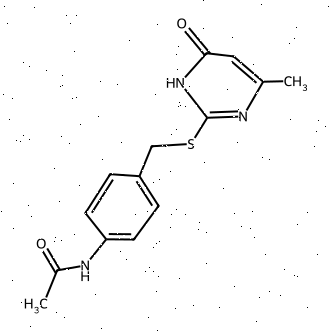 CC(=O)Nc1ccc(CSc2nc(C)cc(=O)[nH]2)cc1